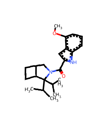 COc1cccc2[nH]c(C(=O)N3CC4CCC4C3(C(C)C)C(C)C)cc12